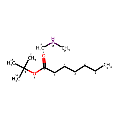 CCCCCCC(=O)OC(C)(C)C.CPC